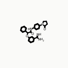 N=C(N)c1cccc(OC(C(=O)Nc2ccc(N3CCCC3=O)cc2)c2ccccc2)c1